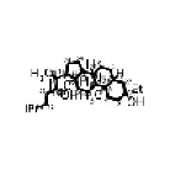 CC[C@]1(O)CC[C@@]2(C)[C@H](CC[C@@H]3[C@@H]2CC[C@]2(C)[C@@H](C(C)C(O)CCC(C)C)CC[C@@H]32)C1